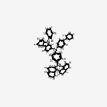 c1ccc(-c2ccc(N(c3ccc(N4c5ccc6ccccc6c5-c5cccc6cccc4c56)cc3)c3ccc4c5ccccc5n(-c5ccccc5)c4c3)cc2)cc1